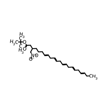 CCC=CCC=CCC=CCC=CCC=CCCCC(CC(=O)OC(C)(C)C)C[N+](=O)[O-]